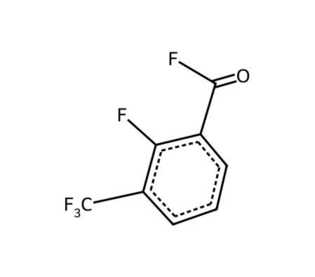 O=C(F)c1cccc(C(F)(F)F)c1F